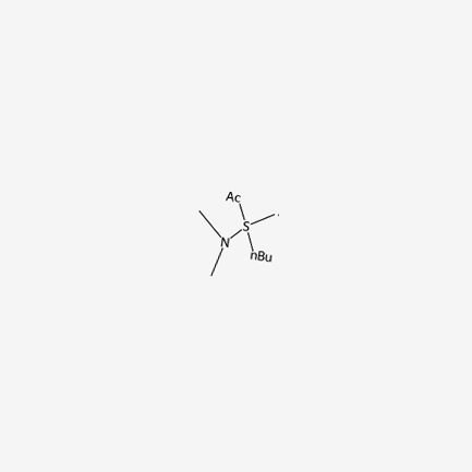 [CH2]S(CCCC)(C(C)=O)N(C)C